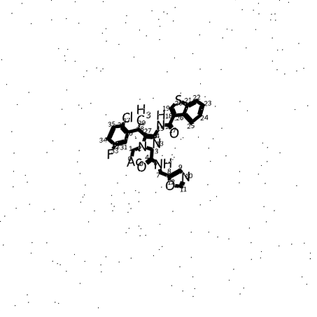 CC(=O)Cn1c(C(=O)NCc2cnco2)nc(NC(=O)c2csc3ccccc23)c1[C@@H](C)c1cc(F)ccc1Cl